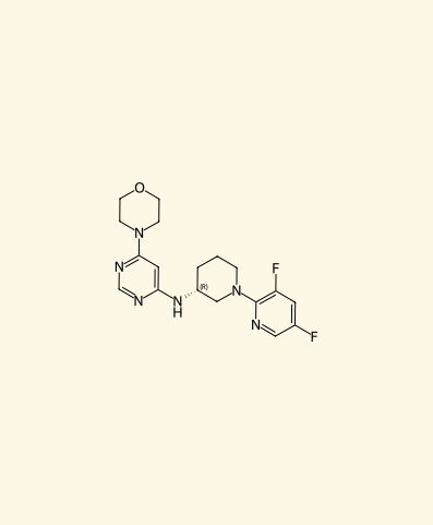 Fc1cnc(N2CCC[C@@H](Nc3cc(N4CCOCC4)ncn3)C2)c(F)c1